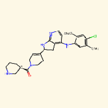 COc1cc(Nc2ccnc3c2CC(C2=CCN(C(=O)[C@@H]4CCCNC4)CC2)N3)c(OC)cc1Cl